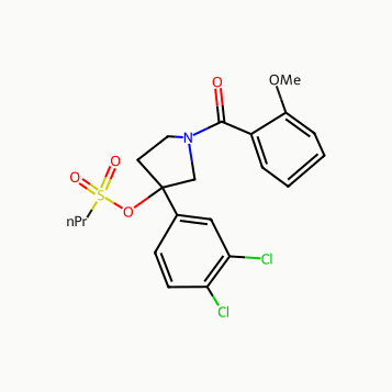 CCCS(=O)(=O)OC1(c2ccc(Cl)c(Cl)c2)CCN(C(=O)c2ccccc2OC)C1